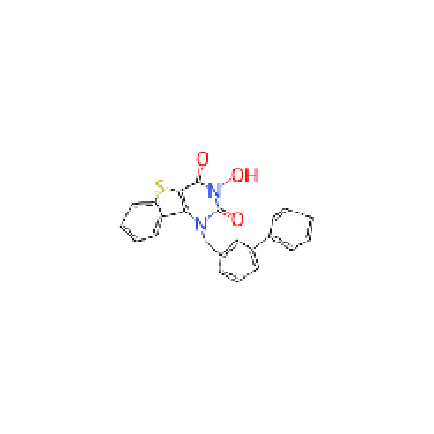 O=c1c2sc3ccccc3c2n(Cc2cccc(-c3ccccc3)c2)c(=O)n1O